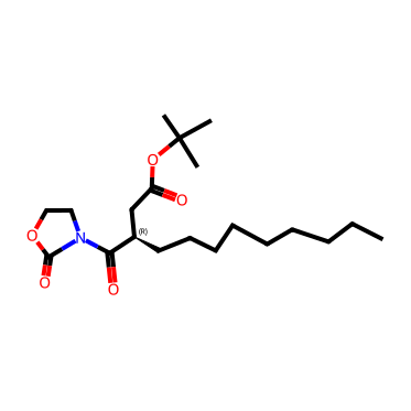 CCCCCCCCC[C@H](CC(=O)OC(C)(C)C)C(=O)N1CCOC1=O